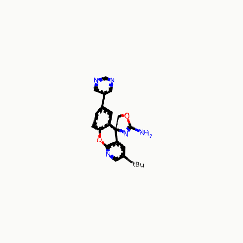 CC(C)(C)c1cnc2c(c1)[C@]1(COC(N)=N1)c1cc(-c3cncnc3)ccc1O2